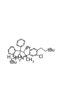 CC(C)C(C(O[SiH2]C(C)(C)C)(c1ccccc1)c1ccccc1)[C@@](C)(N)c1ccc(CCC(C)(C)C)c(Cl)c1